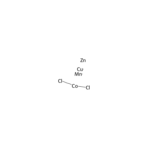 [Cl][Co][Cl].[Cu].[Mn].[Zn]